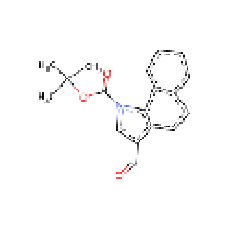 CC(C)(C)OC(=O)n1cc(C=O)c2ccc3ccccc3c21